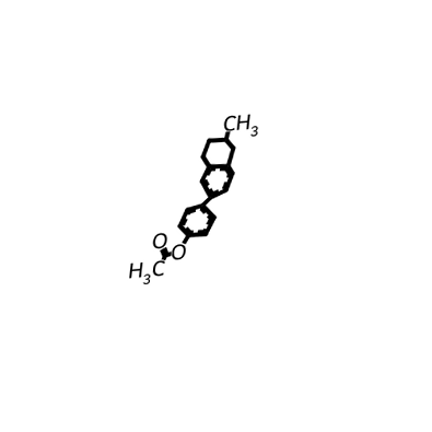 CC(=O)Oc1ccc(-c2ccc3c(c2)CCC(C)C3)cc1